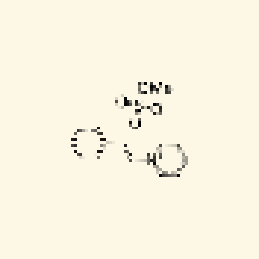 C(=C[n+]1ccccc1)c1ccccc1.COS(=O)(=O)[O-]